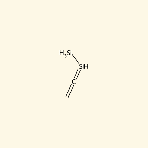 C=C=[SiH][SiH3]